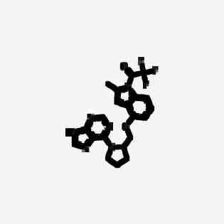 Cc1cc2c(OCC3CCCN3c3ncnc4[nH]cnc34)cccc2n1C(=O)C(F)(F)F